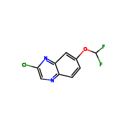 FC(F)Oc1ccc2ncc(Cl)nc2c1